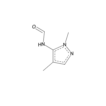 Cc1cnn(C)c1NC=O